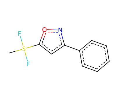 CS(F)(F)c1cc(-c2ccccc2)no1